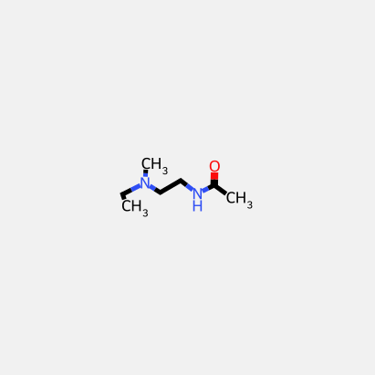 CCN(C)CCNC(C)=O